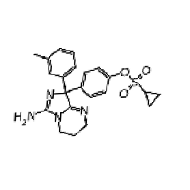 Cc1cccc(C2(c3ccc(OS(=O)(=O)C4CC4)cc3)N=C(N)N3CCCN=C32)c1